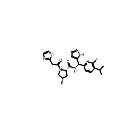 CC(C)c1ccc([C@@H](NC(=O)[C@@H]2C[C@@H](F)CN2C(=O)Cc2ncco2)c2ccn[nH]2)nc1F